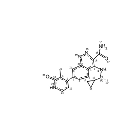 Cc1c(-c2ccc3c(N[C@H](C)C4CC4)c(C(N)=O)nnc3c2)cc[nH]c1=O